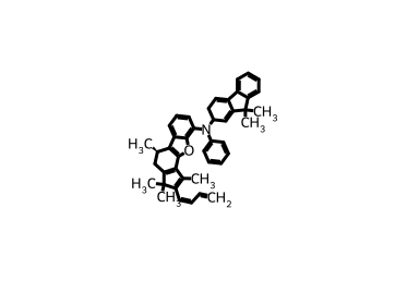 C=C/C=C\C1=C(C)C2=C(C[C@@H](C)c3c2oc2c(N(c4ccccc4)C4C=C5C(=CC4)c4ccccc4C5(C)C)cccc32)C1(C)C